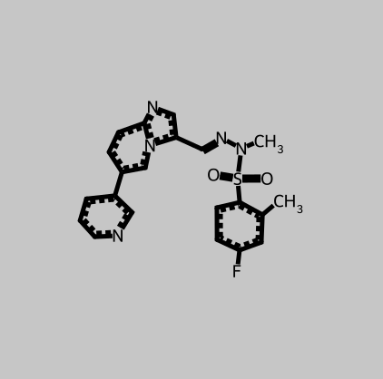 Cc1cc(F)ccc1S(=O)(=O)N(C)N=Cc1cnc2ccc(-c3cccnc3)cn12